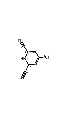 CC1=CC(C#N)NC(C#N)=C1